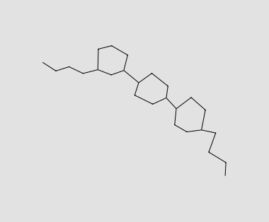 CCCCC1CCC(C2CCC(C3CCCC(CCCC)C3)CC2)CC1